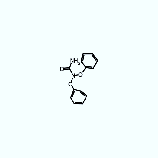 NC(=O)N(Oc1ccccc1)Oc1ccccc1